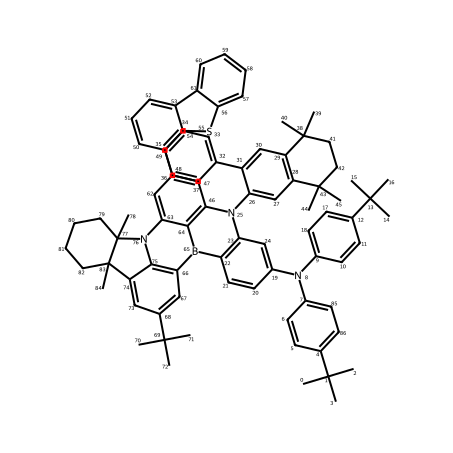 CC(C)(C)c1ccc(N(c2ccc(C(C)(C)C)cc2)c2ccc3c(c2)N(c2cc4c(cc2-c2ccccc2)C(C)(C)CCC4(C)C)c2cc(-c4cccc5c4sc4ccccc45)cc4c2B3c2cc(C(C)(C)C)cc3c2N4C2(C)CCCCC32C)cc1